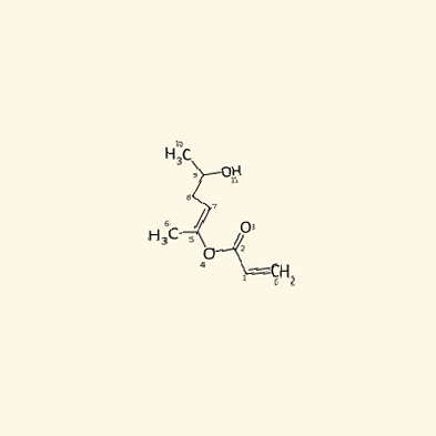 C=CC(=O)OC(C)=CCC(C)O